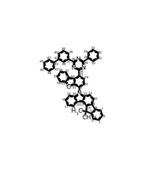 CC1(C)c2ccccc2-c2ccc3c(c21)c1ccccc1n3-c1ccc(-c2nc(-c3ccccc3)nc(-c3cccc(-c4ccccc4)c3)n2)c2c1oc1ccccc12